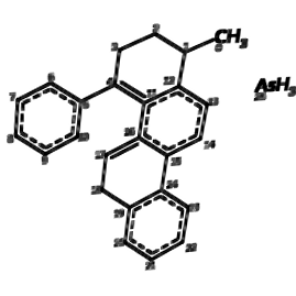 CC1CCC(c2ccccc2)=c2c1ccc1c2=CCc2ccccc2-1.[AsH3]